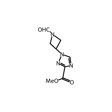 COC(=O)c1ncn(C2CN(C=O)C2)n1